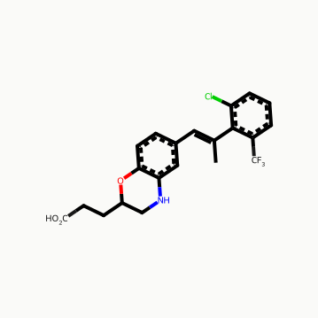 CC(=Cc1ccc2c(c1)NCC(CCC(=O)O)O2)c1c(Cl)cccc1C(F)(F)F